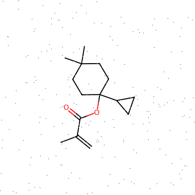 C=C(C)C(=O)OC1(C2CC2)CCC(C)(C)CC1